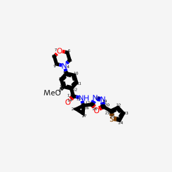 COc1cc(N2CCOCC2)ccc1C(=O)NC1(c2nnc(-c3cccs3)o2)CC1